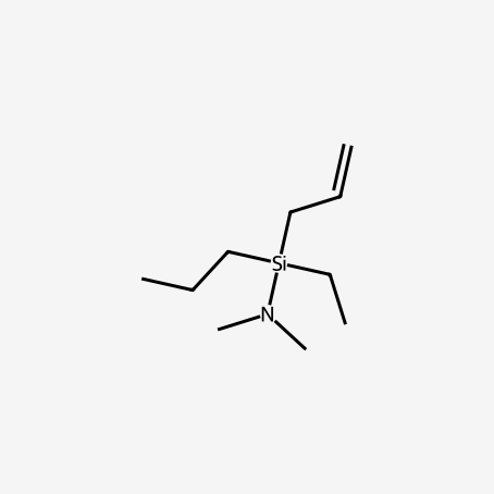 C=CC[Si](CC)(CCC)N(C)C